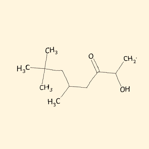 [CH2]C(O)C(=O)CC(C)CC(C)(C)C